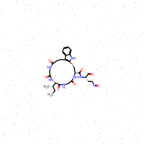 CC[C@H](C)[C@@H]1NC(=O)CNC(=O)CCc2c([nH]c3ccccc23)SC[C@@H](C(=O)N[C@H](C=O)CCN=O)NC(=O)CNC1=O